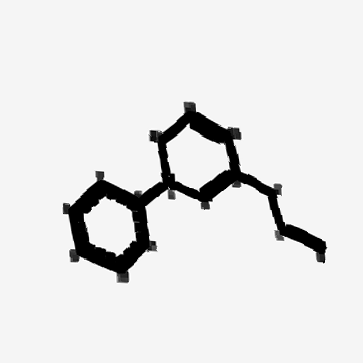 C=CCC1=[C]N(c2ccccc2)CC=C1